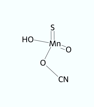 N#C[O][Mn](=[O])([OH])=[S]